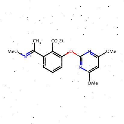 CCOC(=O)c1c(Oc2nc(OC)cc(OC)n2)cccc1/C(C)=N/OC